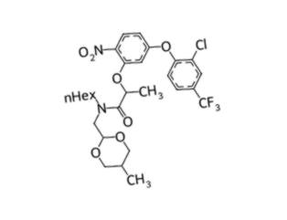 CCCCCCN(CC1OCC(C)CO1)C(=O)C(C)Oc1cc(Oc2ccc(C(F)(F)F)cc2Cl)ccc1[N+](=O)[O-]